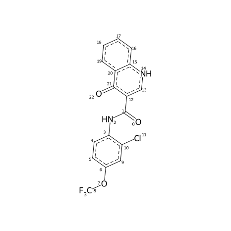 O=C(Nc1ccc(OC(F)(F)F)cc1Cl)c1c[nH]c2ccccc2c1=O